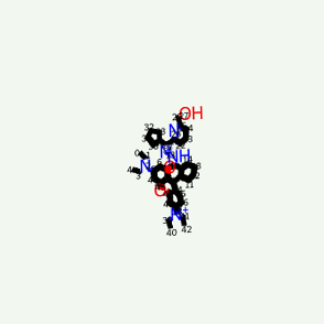 CCN(CC)c1ccc2c(-c3ccccc3C(=O)N/N=C(\c3cccc(CO)n3)C3C=CCC3)c3ccc(=[N+](CC)CC)cc-3oc2c1